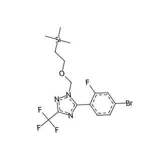 C[Si](C)(C)CCOCn1nc(C(F)(F)F)nc1-c1ccc(Br)cc1F